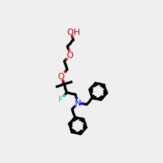 CC(C)(OCCOCCO)C(F)CN(Cc1ccccc1)Cc1ccccc1